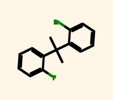 CC(C)(c1ccccc1F)c1ccccc1Br